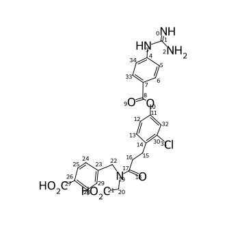 N=C(N)Nc1ccc(C(=O)Oc2ccc(CCC(=O)N(CC(=O)O)Cc3ccc(C(=O)O)cc3)c(Cl)c2)cc1